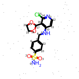 NS(=O)(=O)c1ccc(CNc2ccnc(Cl)c2C2OCCO2)cc1